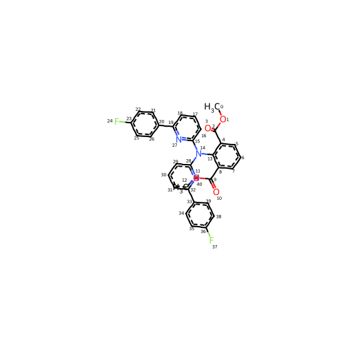 COC(=O)c1cccc(C(=O)OC)c1N(c1cccc(-c2ccc(F)cc2)n1)c1cccc(-c2ccc(F)cc2)n1